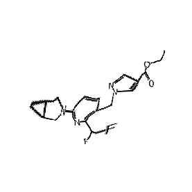 CCOC(=O)c1cnn(Cc2ccc(N3CC4CC4C3)nc2C(F)F)c1